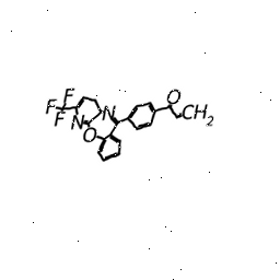 C=CC(=O)c1ccc(C2=NC3CC=C(C(F)(F)F)N=C3Oc3ccccc32)cc1